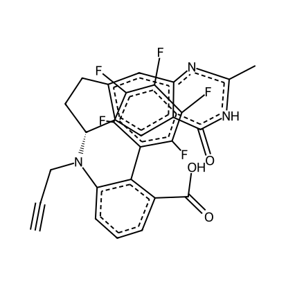 C#CCN(c1cccc(C(=O)O)c1-c1c(F)c(F)c(F)c(F)c1F)[C@@H]1CCc2cc3nc(C)[nH]c(=O)c3cc21